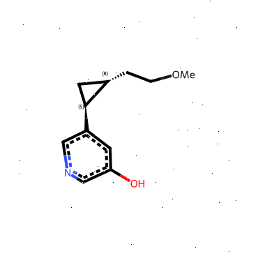 COCC[C@H]1C[C@@H]1c1cncc(O)c1